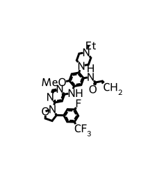 C=CC(=O)Nc1cc(Nc2cc(N3OCCC3c3cc(F)cc(C(F)(F)F)c3)ncn2)c(OC)cc1N1CCN(CC)CC1